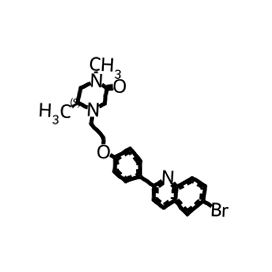 C[C@H]1CN(C)C(=O)CN1CCOc1ccc(-c2ccc3cc(Br)ccc3n2)cc1